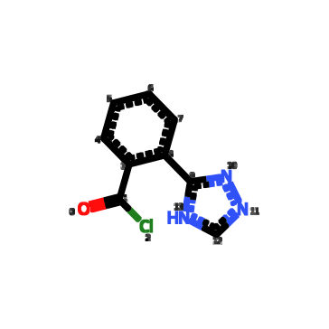 O=C(Cl)c1ccccc1-c1nnc[nH]1